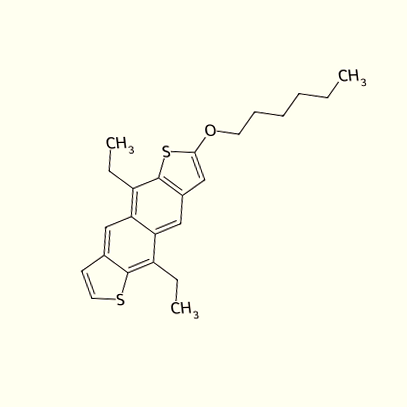 CCCCCCOc1cc2cc3c(CC)c4sccc4cc3c(CC)c2s1